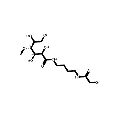 CO[C@H](C(O)CO)[C@H](O)C(O)C(=O)NCCCCNC(=O)CS